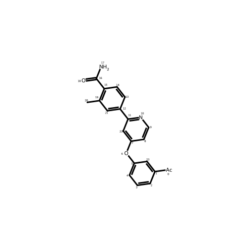 CC(=O)c1cccc(Oc2ccnc(-c3ccc(C(N)=O)c(C)c3)c2)c1